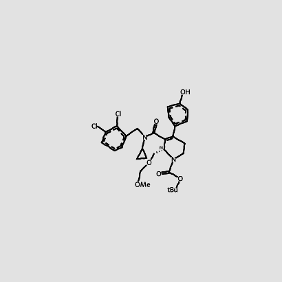 COCOC[C@@H]1C(C(=O)N(Cc2cccc(Cl)c2Cl)C2CC2)=C(c2ccc(O)cc2)CCN1C(=O)OC(C)(C)C